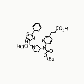 CC(C)(C)OC(=O)N(c1ccc(/C=C/C(=O)O)cn1)[C@@H]1CCN(Cc2csc(-c3ccccc3)n2)C1.Cl.Cl